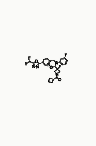 O=C(C1CCC1)N1CC(F)(C(=O)N(Cc2ccc(-c3nnc(C(F)F)o3)cn2)c2cccc(F)c2)C1